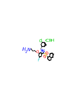 Cl.NCCCCOc1cc(F)cc2c(S(=O)(=O)c3cccc4ccccc34)nn(Cc3cccc(Cl)c3)c12